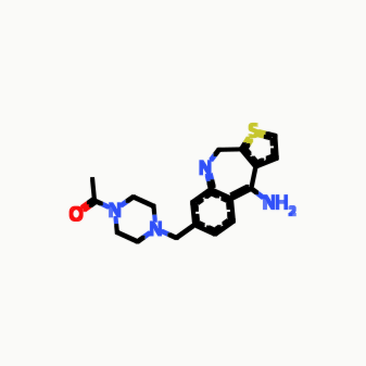 CC(=O)N1CCN(Cc2ccc3c(c2)=NCc2sccc2C=3N)CC1